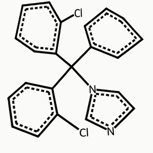 Clc1ccccc1C(c1ccccc1)(c1ccccc1Cl)n1ccnc1